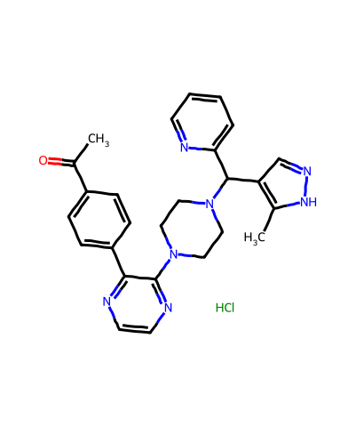 CC(=O)c1ccc(-c2nccnc2N2CCN(C(c3ccccn3)c3cn[nH]c3C)CC2)cc1.Cl